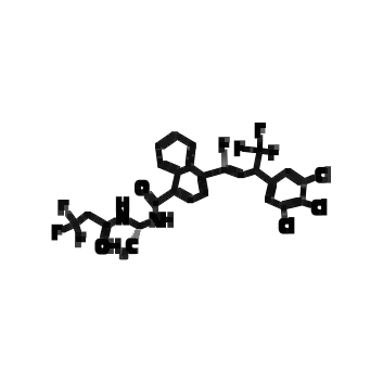 C[C@H](NC(=O)CC(F)(F)F)NC(=O)c1ccc(/C(F)=C/C(c2cc(Cl)c(Cl)c(Cl)c2)C(F)(F)F)c2ccccc12